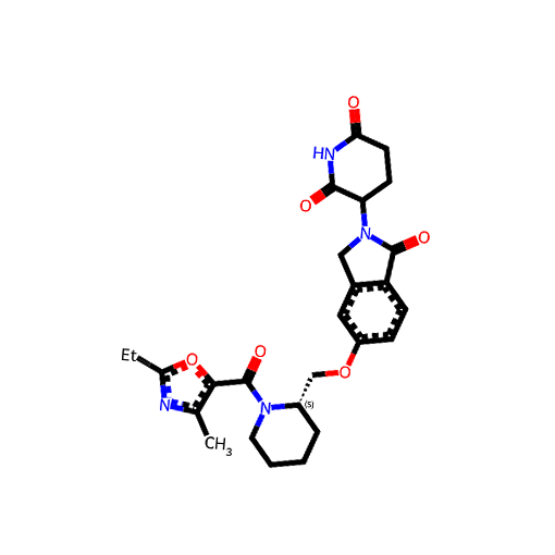 CCc1nc(C)c(C(=O)N2CCCC[C@H]2COc2ccc3c(c2)CN(C2CCC(=O)NC2=O)C3=O)o1